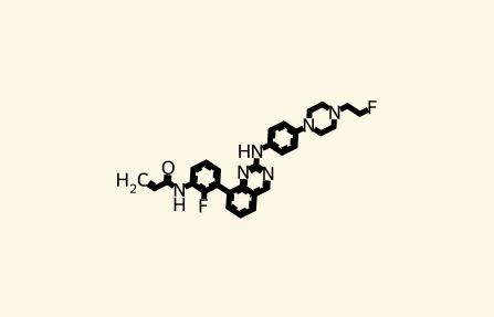 C=CC(=O)Nc1cccc(-c2cccc3cnc(Nc4ccc(N5CCN(CCF)CC5)cc4)nc23)c1F